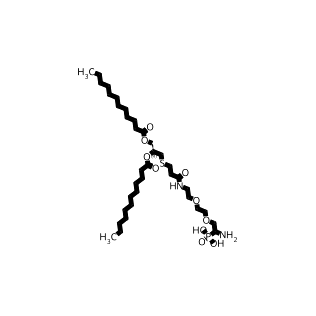 CCCCCCCCCCCC(=O)OC[C@H](CSCCC(=O)NCCOCCOCC(N)P(=O)(O)O)OC(=O)CCCCCCCCCCC